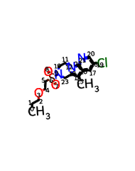 CCCOCCS(=O)(=O)N1CCn2c(c(C)c3cc(Cl)cnc32)C1